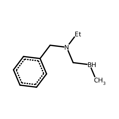 CBCN(CC)Cc1ccccc1